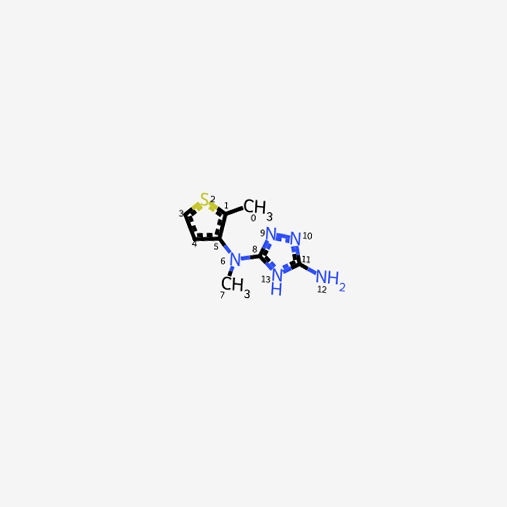 Cc1sccc1N(C)c1nnc(N)[nH]1